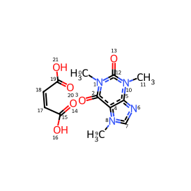 Cn1c(=O)c2c(ncn2C)n(C)c1=O.O=C(O)/C=C\C(=O)O